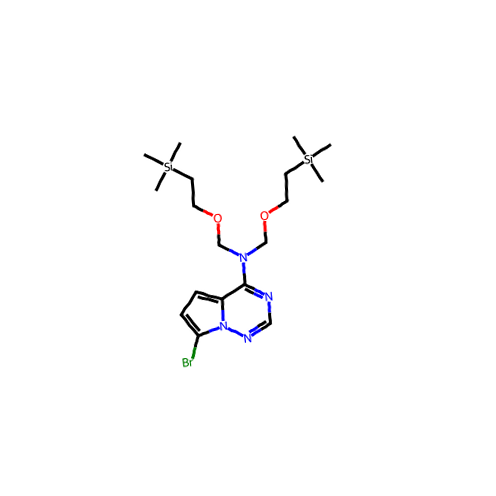 C[Si](C)(C)CCOCN(COCC[Si](C)(C)C)c1ncnn2c(Br)ccc12